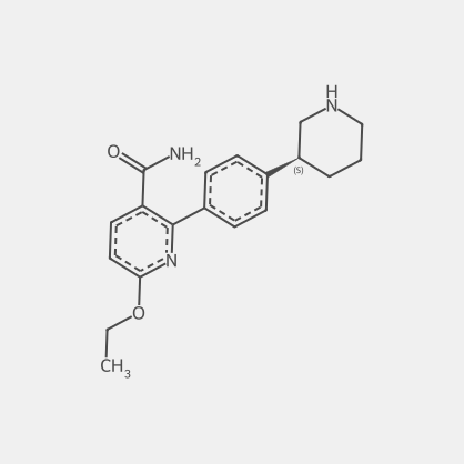 CCOc1ccc(C(N)=O)c(-c2ccc([C@@H]3CCCNC3)cc2)n1